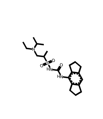 CCN(CC(C)S(=O)(=O)NC(=O)Nc1c2c(cc3c1CCC3)CCC2)C(C)C